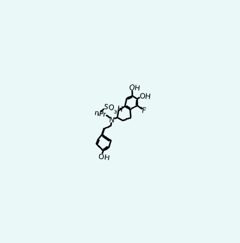 CCCN(CCc1ccc(O)cc1)C1CCc2c(cc(O)c(O)c2F)C1.CS(=O)(=O)O